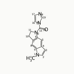 Cn1ccc2cc3c(cc21)CCN3C(=O)n1ccnc1